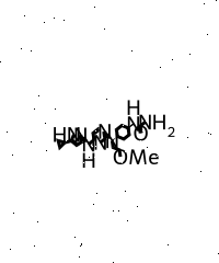 COCCN(c1nccc(Nc2cc(C3CC3)[nH]n2)n1)[C@H]1CC[C@H](NC(N)=O)CC1